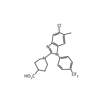 Cc1cc2c(cc1Cl)nc(N1CCC(C(=O)O)CC1)n2-c1ccc(C(F)(F)F)cc1